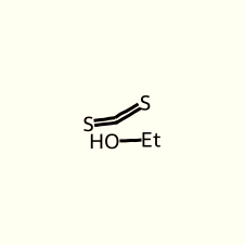 CCO.S=C=S